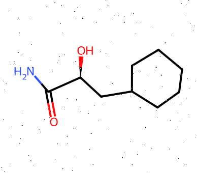 NC(=O)[C@@H](O)CC1CCCCC1